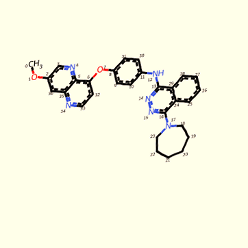 COc1cnc2c(Oc3ccc(Nc4nnc(N5CCCCCC5)c5ccccc45)cc3)ccnc2c1